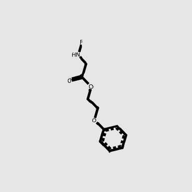 O=C(CNF)OCCOc1ccccc1